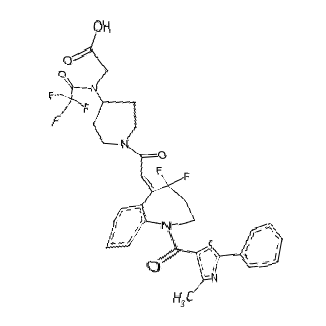 Cc1nc(-c2ccccc2)sc1C(=O)N1CCC(F)(F)C(=CC(=O)N2CCC(N(CC(=O)O)C(=O)C(F)(F)F)CC2)c2ccccc21